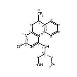 CC(C)C[C@H](CO)Nc1nc(Cl)nc(CC(c2ccccc2)C(F)(F)F)n1